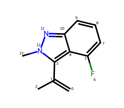 C=C(C)c1c2c(F)cccc2nn1C